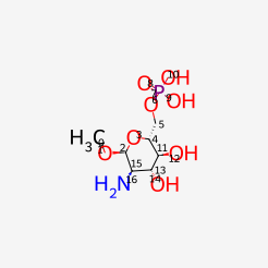 CO[C@H]1O[C@H](COP(=O)(O)O)[C@@H](O)[C@H](O)[C@H]1N